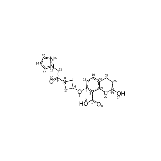 O=C(O)c1c(OC2CN(C(=O)Cn3cccn3)C2)ccc2c1OB(O)CC2